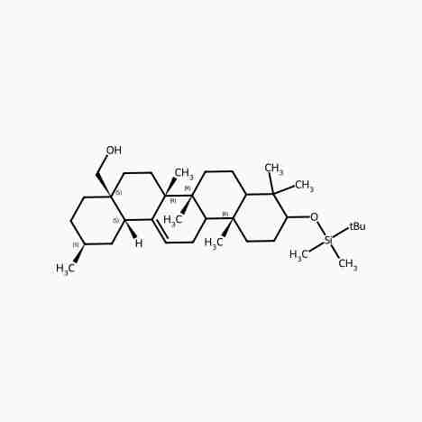 C[C@H]1CC[C@]2(CO)CC[C@@]3(C)C(=CCC4[C@@]5(C)CCC(O[Si](C)(C)C(C)(C)C)C(C)(C)C5CC[C@]43C)[C@@H]2C1